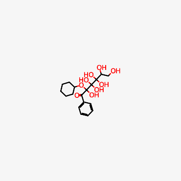 O=C(c1ccccc1)C(O)(OC1CCCCC1)C(O)(O)C(O)(O)C(O)CO